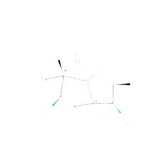 C[C@@H]1O[C@H]2[C@](C)(C[C@]3(F)C[C@]23C)[C@@H]1F